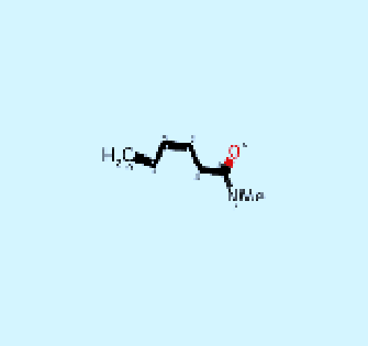 C=C/C=C\CC(=O)NC